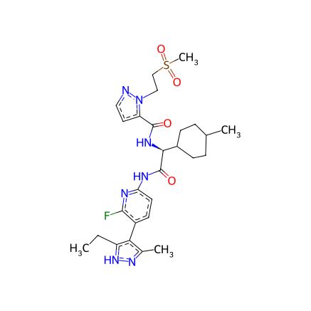 CCc1[nH]nc(C)c1-c1ccc(NC(=O)[C@@H](NC(=O)c2ccnn2CCS(C)(=O)=O)C2CCC(C)CC2)nc1F